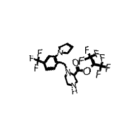 O=C(OC(C(F)(F)F)C(F)(F)F)C1CNCCN1Cc1ccc(C(F)(F)F)cc1N1CCCC1